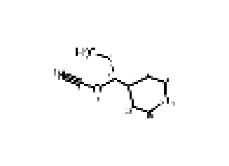 CC[C@@H](OC#N)C1CCOCC1